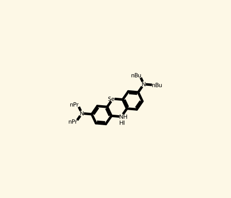 CCCCN(CCCC)c1ccc2c(c1)[Se]c1cc(N(CCC)CCC)ccc1N2.I